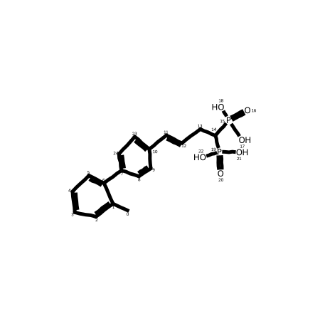 Cc1ccccc1-c1ccc(C=CCC(P(=O)(O)O)P(=O)(O)O)cc1